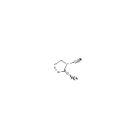 N#CC1CCCC1=N